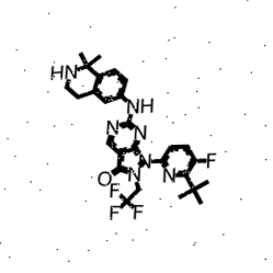 CC(C)(C)c1nc(-n2c3nc(Nc4ccc5c(c4)CCNC5(C)C)ncc3c(=O)n2CC(F)(F)F)ccc1F